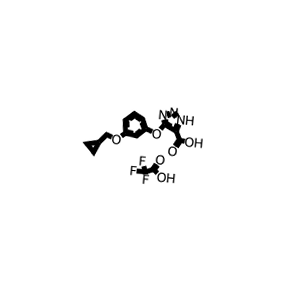 O=C(O)C(F)(F)F.O=C(O)c1[nH]nnc1Oc1cccc(OCC2CC2)c1